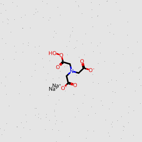 O=C([O-])CN(CC(=O)[O-])CC(=O)OO.[Na+].[Na+]